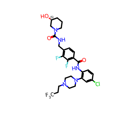 O=C(Nc1ccc(Cl)cc1N1CCN(CCC(F)(F)F)CC1)c1ccc(CNC(=O)N2CCC[C@H](O)C2)c(F)c1F